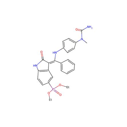 CCOP(=O)(OCC)c1ccc2c(c1)/C(=C(/Nc1ccc(N(C)C(N)=O)cc1)c1ccccc1)C(=O)N2